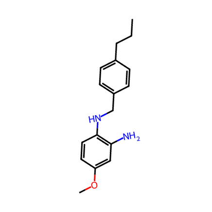 CCCc1ccc(CNc2ccc(OC)cc2N)cc1